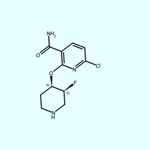 NC(=O)c1ccc(Cl)nc1O[C@@H]1CCNC[C@@H]1F